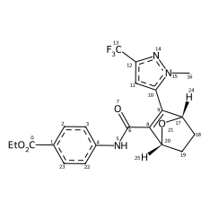 CCOC(=O)c1ccc(NC(=O)C2=C(c3cc(C(F)(F)F)nn3C)[C@@H]3CC[C@H]2O3)cc1